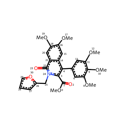 COC(=O)c1c(-c2cc(OC)c(OC)c(OC)c2)c2cc(OC)c(OC)cc2c(=O)n1Cc1ccco1